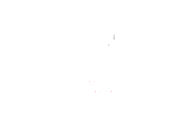 C=CC[C@H]1CC[C@H](CCC(C=O)C(OCC)OCC)CC1